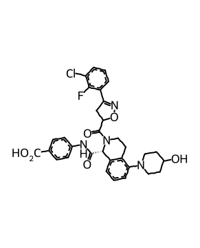 O=C(O)c1ccc(NC(=O)[C@H]2c3cccc(N4CCC(O)CC4)c3CCN2C(=O)C2CC(c3cccc(Cl)c3F)=NO2)cc1